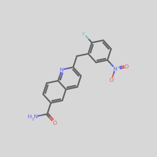 NC(=O)c1ccc2nc(Cc3cc([N+](=O)[O-])ccc3F)ccc2c1